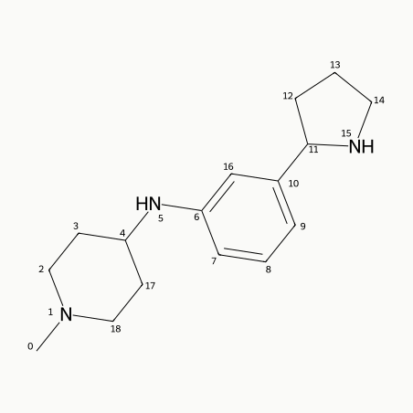 CN1CCC(Nc2cccc(C3CCCN3)c2)CC1